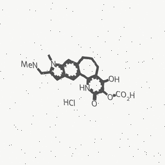 CNCc1cc2cc3c(cc2n1C)CCCc1c-3[nH]c(=O)c(OC(=O)O)c1O.Cl